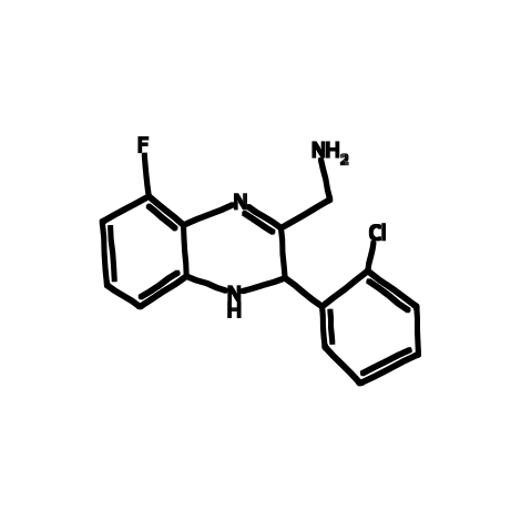 NCC1=Nc2c(F)cccc2NC1c1ccccc1Cl